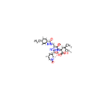 Cc1ccc(C(=O)NC[C@H](NC(=O)c2ccc[n+]([O-])c2)C(=O)N[C@@H](CC(C)C)B(O)O)cc1